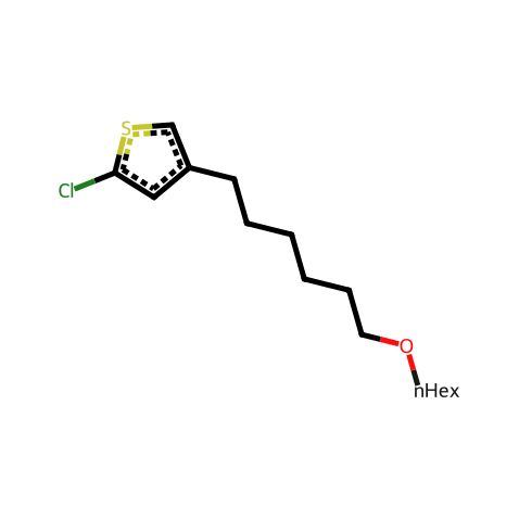 [CH2]CCCCCOCCCCCCc1csc(Cl)c1